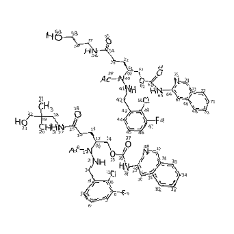 CC(=O)N(NCc1cccc(F)c1Cl)[C@@H](CCC(=O)NCC(C)(C)CO)COC(=O)Nc1cc2ccccc2cn1.CC(=O)N(NCc1cccc(F)c1Cl)[C@@H](CCC(=O)NCCCO)COC(=O)Nc1cc2ccccc2cn1